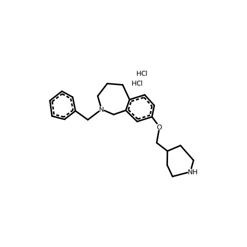 Cl.Cl.c1ccc(CN2CCCc3ccc(OCC4CCNCC4)cc3C2)cc1